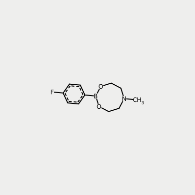 CN1CCOB(c2ccc(F)cc2)OCC1